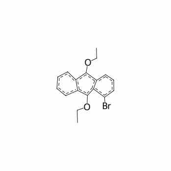 CCOc1c2ccccc2c(OCC)c2c(Br)cccc12